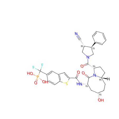 N#C[C@H]1CN(C(=O)[C@@H]2CC[C@@H]3CC[C@H](O)C[C@H](NC(=O)c4cc5cc(C(F)(F)P(=O)(O)O)ccc5s4)C(=O)N32)C[C@@H]1c1ccccc1